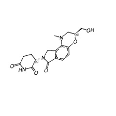 CN1C[C@@H](CO)Oc2ccc3c(c21)CN([C@H]1CCC(=O)NC1=O)C3=O